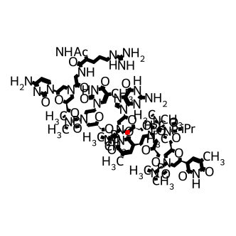 CC(=O)NC(CCCNC(=N)N)C(=O)NCC(=O)N1C[C@@H](COP(=O)(N(C)C)N2C[C@@H](COP(=O)(N(C)C)N3C[C@@H](COP(=O)(N(C)C)N4C[C@@H](COP(=O)(N(C)C)N5C[C@@H](COP(=O)(C(C)C)N(C)C)O[C@@H](C6C=C(C)C(=O)NC6=O)C5)O[C@@H](C5C=C(C)C(=O)NC5=O)C4)O[C@@H](n4cnc5c(=O)[nH]c(N)nc54)C3)O[C@@H](n3cc(C)c(=O)[nH]c3=O)C2)O[C@@H](n2ccc(N)nc2=O)C1